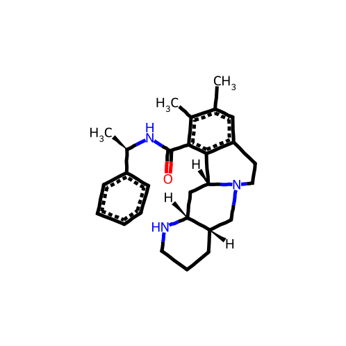 Cc1cc2c(c(C(=O)N[C@H](C)c3ccccc3)c1C)[C@H]1C[C@H]3NCCC[C@H]3CN1CC2